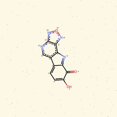 O=C1C(O)=CC=C2C1=Nc1c2cnc2nonc12